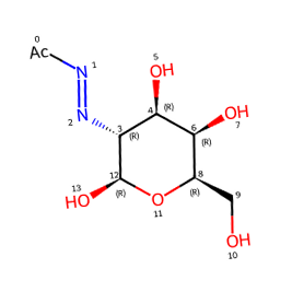 CC(=O)N=N[C@@H]1[C@@H](O)[C@@H](O)[C@@H](CO)O[C@H]1O